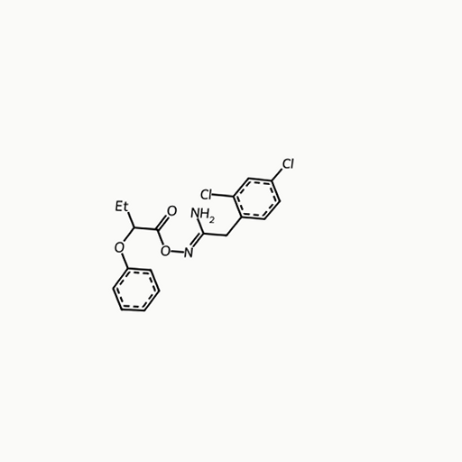 CCC(Oc1ccccc1)C(=O)O/N=C(\N)Cc1ccc(Cl)cc1Cl